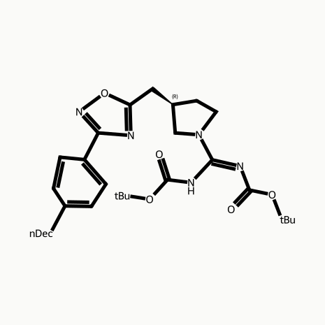 CCCCCCCCCCc1ccc(-c2noc(C[C@H]3CCN(C(=NC(=O)OC(C)(C)C)NC(=O)OC(C)(C)C)C3)n2)cc1